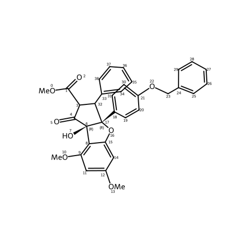 COC(=O)C1C(=O)[C@@]2(O)c3c(OC)cc(OC)cc3O[C@@]2(c2ccc(OCc3ccccc3)cc2)C1c1ccccc1